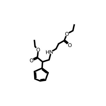 CCOC(=O)CCNCC(C(=O)OCC)c1ccccc1